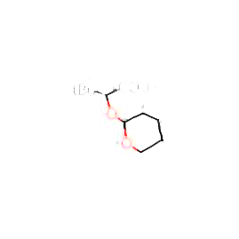 CC(C)(C)[C@H](OC1CCCCO1)C(=O)O